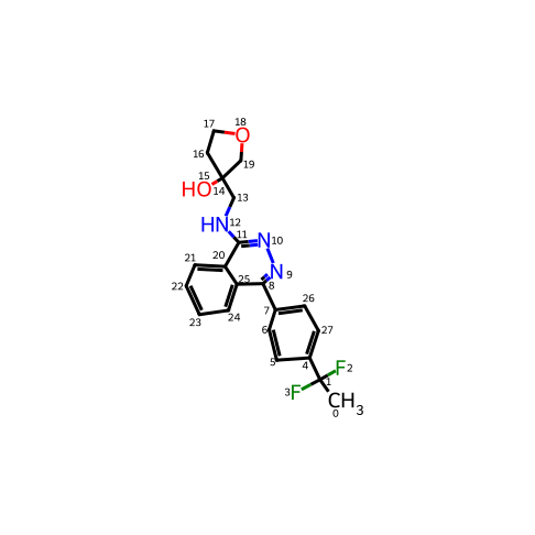 CC(F)(F)c1ccc(-c2nnc(NCC3(O)CCOC3)c3ccccc23)cc1